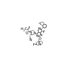 C=C(F)C(=O)N1CCN(c2nc(OC[C@@]34CCCN3C[C@H](F)C4)nc3c(F)c(-c4cccc5c4C4CC4C5)ncc23)C[C@@H]1CC#N